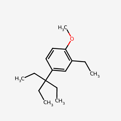 CCc1cc(C(CC)(CC)CC)ccc1OC